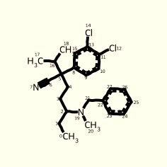 CCC(CCC(C#N)(c1ccc(Cl)c(Cl)c1)C(C)C)N(C)Cc1ccccc1